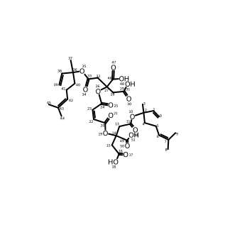 C=CC(C)(CCC=C(C)C)OC(=O)CC(CC(=O)O)(OC(=O)/C=C\C(=O)OC(CC(=O)O)(CC(=O)OC(C)(C=C)CCC=C(C)C)C(=O)O)C(=O)O